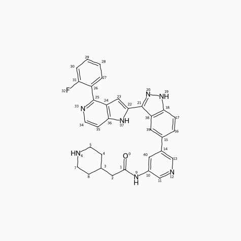 O=C(CC1CCNCC1)Nc1cncc(-c2ccc3[nH]nc(-c4cc5c(-c6ccccc6F)nccc5[nH]4)c3c2)c1